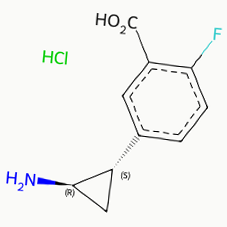 Cl.N[C@@H]1C[C@H]1c1ccc(F)c(C(=O)O)c1